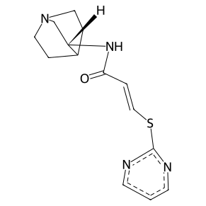 O=C(/C=C/Sc1ncccn1)N[C@H]1CN2CCC1CC2